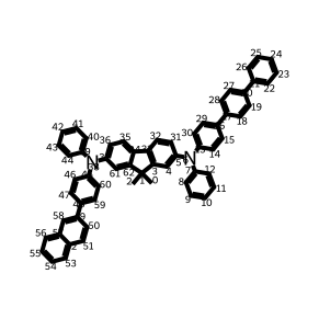 CC1(C)c2cc(N(c3ccccc3)c3ccc(-c4ccc(-c5ccccc5)cc4)cc3)ccc2-c2ccc(N(c3ccccc3)c3ccc(-c4ccc5ccccc5c4)cc3)cc21